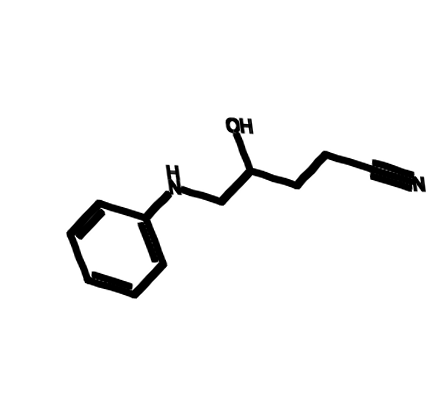 N#CCCC(O)CNc1ccccc1